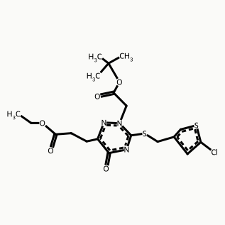 CCOC(=O)CCc1nn(CC(=O)OC(C)(C)C)c(SCc2csc(Cl)c2)nc1=O